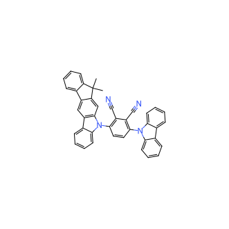 CC1(C)c2ccccc2-c2cc3c4ccccc4n(-c4ccc(-n5c6ccccc6c6ccccc65)c(C#N)c4C#N)c3cc21